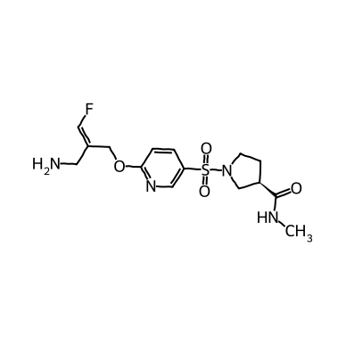 CNC(=O)[C@@H]1CCN(S(=O)(=O)c2ccc(OC/C(=C\F)CN)nc2)C1